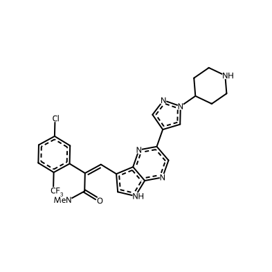 CNC(=O)/C(=C\c1c[nH]c2ncc(-c3cnn(C4CCNCC4)c3)nc12)c1cc(Cl)ccc1C(F)(F)F